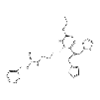 CCOC(=O)NC(CCCCNC(=O)OCc1ccccc1)C(=O)N(Cc1cccs1)Cc1cccs1